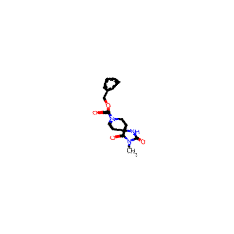 CN1C(=O)NC2(CCN(C(=O)OCc3ccccc3)CC2)C1=O